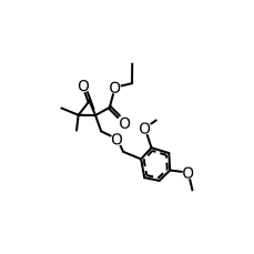 CCOC(=O)C1(COCc2ccc(OC)cc2OC)C(=O)C1(C)C